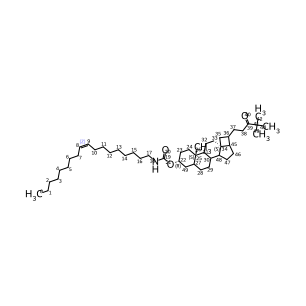 CCCCCCCC/C=C\CCCCCCCCNC(=O)O[C@@H]1CC[C@@]2(C)C(CCC3C2CC[C@]24CC(CCC(=O)C(C)(C)C)C2CCC34)C1